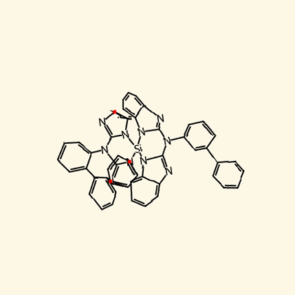 c1ccc(-c2cccc(N3c4nc5ccccc5n4[Si]4(n5c3nc3ccccc35)n3c(nc5ccccc53)N(c3ccccc3-c3ccccc3)c3nc5ccccc5n34)c2)cc1